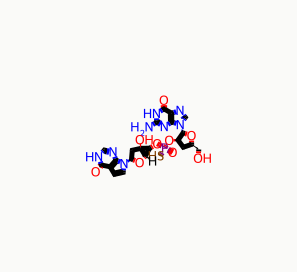 Nc1nc2c(ncn2[C@@H]2O[C@H](CO)C[C@H]2OP(=O)(S)OC2[C@H]3O[C@@H](n4ccc5c(=O)[nH]cnc54)C[C@@]23O)c(=O)[nH]1